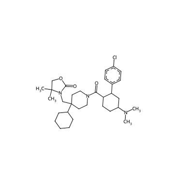 CN(C)C1CCC(C(=O)N2CCC(CN3C(=O)OCC3(C)C)(C3CCCCC3)CC2)C(c2ccc(Cl)cc2)C1